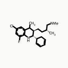 CNC[C@H](C)CC[C@@H]1C(C)c2cc(Cl)cc(F)c2N[C@H]1C1C=CC=CC1